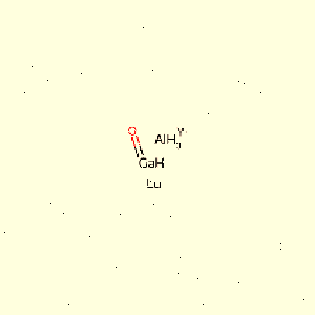 [AlH3].[Lu].[O]=[GaH].[Y]